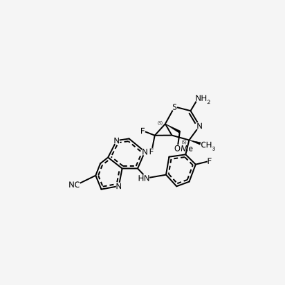 COC[C@@]12SC(N)=N[C@](C)(c3cc(Nc4ncnc5cc(C#N)cnc45)ccc3F)C1C2(F)F